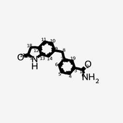 NC(=O)c1cccc(Cc2ccc3c(c2)NC(=O)C3)c1